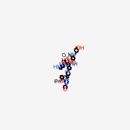 CC(C)Oc1ccccc1[C@@H]1CN(C2CCOCC2)CCN1[C@H]1C[C@@]2(CCN(c3ccc(C(=O)NS(=O)(=O)c4ccc(NCC5CCC(C)(O)CC5)c([N+](=O)[O-])c4)c(N4c5cc6cc[nH]c6nc5O[C@H]5COCC[C@@H]54)c3)[C@@H](C)C2)[C@@H]1C